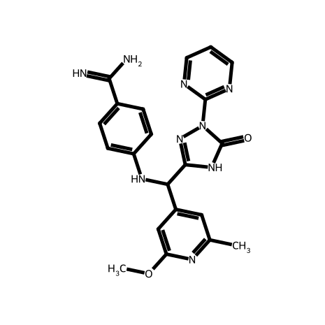 COc1cc(C(Nc2ccc(C(=N)N)cc2)c2nn(-c3ncccn3)c(=O)[nH]2)cc(C)n1